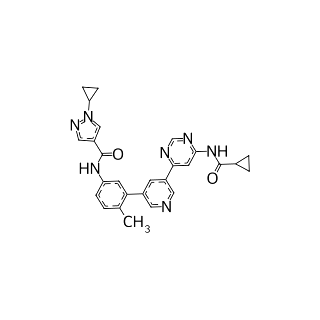 Cc1ccc(NC(=O)c2cnn(C3CC3)c2)cc1-c1cncc(-c2cc(NC(=O)C3CC3)ncn2)c1